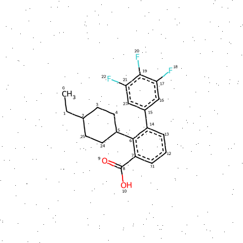 CCC1CCC(c2c(C(=O)O)cccc2-c2cc(F)c(F)c(F)c2)CC1